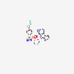 O=S(=O)(N[C@H]1CCC[C@@H](n2c3ccccc3c3ccncc32)[C@@H]1O)c1ccc(OCF)cc1